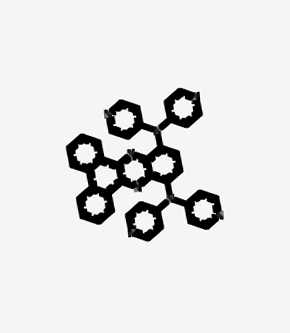 c1ccc2c(c1)c1ccccc1c1nc3c(N(c4ccncc4)c4ccncc4)ccc(N(c4ccncc4)c4ccncc4)c3nc21